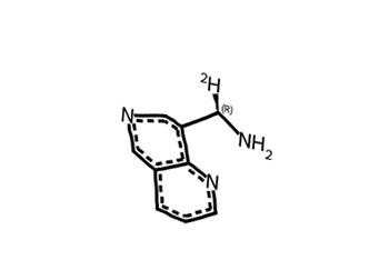 [2H][C@@H](N)c1cncc2cccnc12